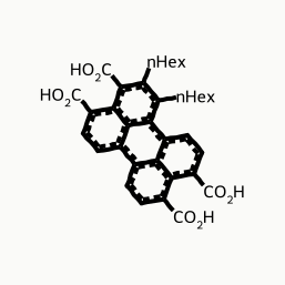 CCCCCCc1c(C(=O)O)c2c(C(=O)O)ccc3c4ccc(C(=O)O)c5c(C(=O)O)ccc(c(c1CCCCCC)c23)c54